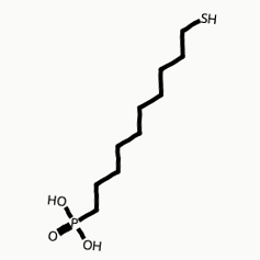 O=P(O)(O)CCCCCCCCCCS